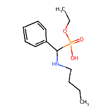 CCCCNC(c1ccccc1)P(=O)(O)OCC